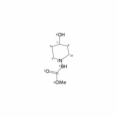 COC(=O)BN1CCC(O)CC1